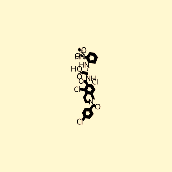 CS(=O)(=O)Nc1ccccc1NC[C@H](NC(=O)c1c(Cl)cc2c(c1Cl)CCN(C(=O)c1ccc(Cl)cc1)C2)C(=O)O